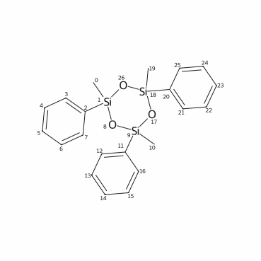 C[Si]1(c2ccccc2)O[Si](C)(c2ccccc2)O[Si](C)(c2ccccc2)O1